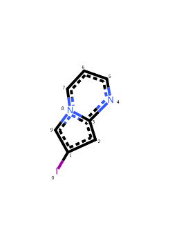 Ic1cc2ncccn2c1